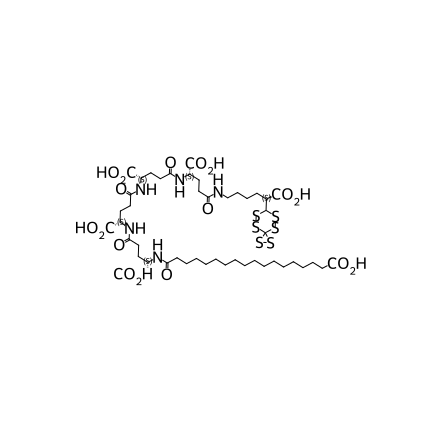 O=C(O)CCCCCCCCCCCCCCCCC(=O)N[C@@H](CCC(=O)N[C@@H](CCC(=O)N[C@@H](CCC(=O)N[C@@H](CCC(=O)NCCCC[C@@H](C(=O)O)C1SSC2(SS1)SS2)C(=O)O)C(=O)O)C(=O)O)C(=O)O